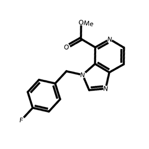 COC(=O)c1nccc2ncn(Cc3ccc(F)cc3)c12